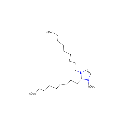 CCCCCCCCCCCCCCCCCCC1N(CCCCCCCCCC)C=CN1CCCCCCCCCCCCCCCCCC